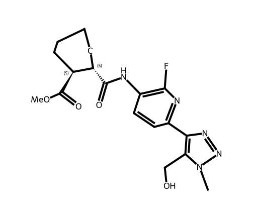 COC(=O)[C@H]1CCCC[C@@H]1C(=O)Nc1ccc(-c2nnn(C)c2CO)nc1F